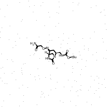 CC(C)(C)OC(=O)NC[C@@H]1C/C(=N/OCC(N)=O)[C@@H]2CN1C(=O)N2